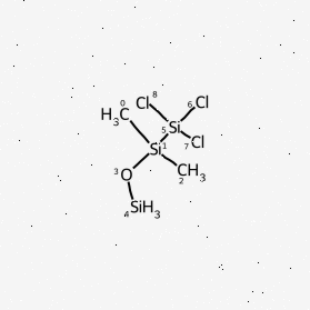 C[Si](C)(O[SiH3])[Si](Cl)(Cl)Cl